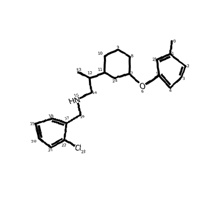 Cc1cccc(OC2CCCC(C(C)CNCc3ccccc3Cl)C2)c1